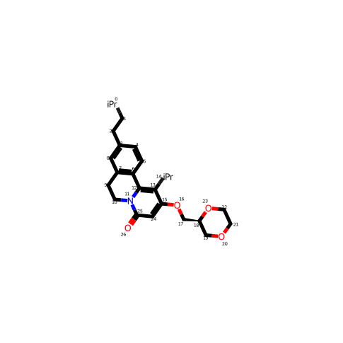 CC(C)CCc1ccc2c(c1)CCn1c-2c(C(C)C)c(OC[C@@H]2COCCO2)cc1=O